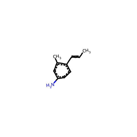 C/C=C/c1ccc(N)cc1C